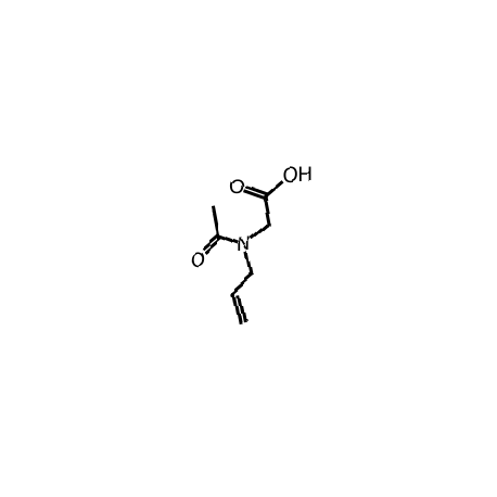 C=CCN(CC(=O)O)C(C)=O